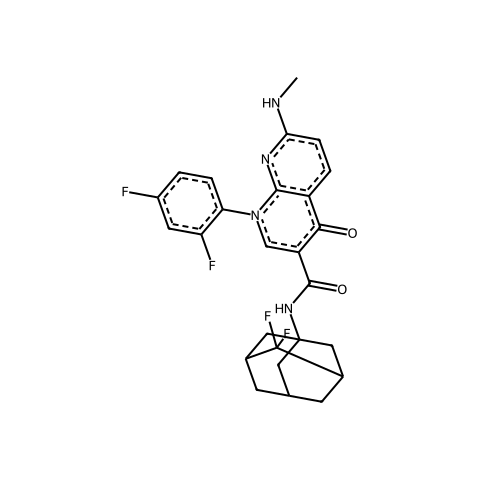 CNc1ccc2c(=O)c(C(=O)NC34CC5CC(C3)C(F)(F)C(C5)C4)cn(-c3ccc(F)cc3F)c2n1